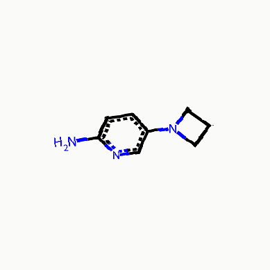 Nc1ccc(N2C[CH]C2)cn1